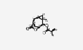 C=C(C)C(=O)OC1C2CC(CC3C[C@@]31C)C(=O)O2